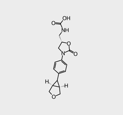 O=C(O)NC[C@H]1CN(c2ccc(C3[C@H]4COC[C@@H]34)cc2)C(=O)O1